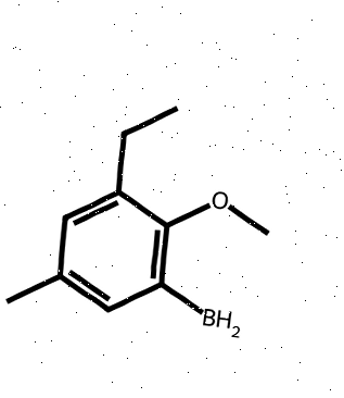 Bc1cc(C)cc(CC)c1OC